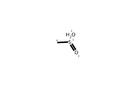 C[S]=O.O